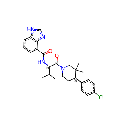 CC(C)[C@@H](NC(=O)c1cccc2[nH]cnc12)C(=O)N1CC[C@H](c2ccc(Cl)cc2)C(C)(C)C1